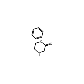 O=C1CNCCO1.c1ccccc1